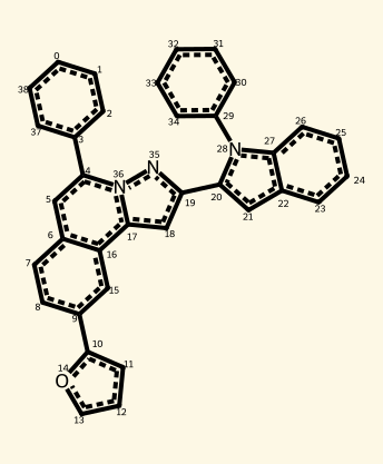 c1ccc(-c2cc3ccc(-c4ccco4)cc3c3cc(-c4cc5ccccc5n4-c4ccccc4)nn23)cc1